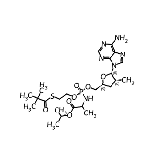 CC(C)OC(=O)C(C)NP(=O)(OCCSC(=O)C(C)(C)C)OC[C@@H]1C[C@H](C)[C@H](n2cnc3c(N)ncnc32)O1